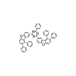 c1ccc(-c2nc(-c3ccc4oc5ccc(-c6ccccc6)c(-c6ccccc6)c5c4c3)nc(-c3ccc4oc5ccc(-c6ccccc6)c(-c6ccccc6)c5c4c3)n2)cc1